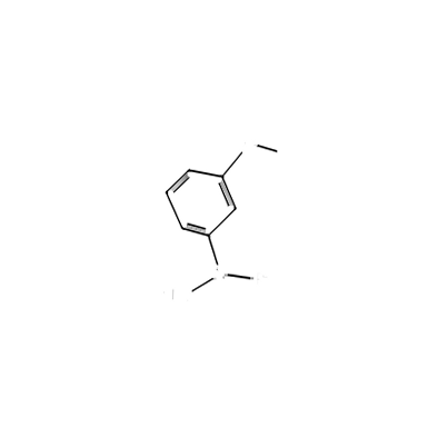 CCCCN(c1cccc(OC(C)C)c1)C(C)C